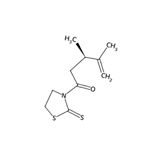 C=C(C)[C@H](C)CC(=O)N1CCSC1=S